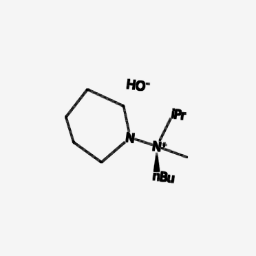 CCCC[N@+](C)(C(C)C)N1CCCCC1.[OH-]